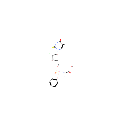 Cc1cn([C@H]2O[C@@H](COP(=O)(N[C@@H](C)C(=O)OC(C)C)Oc3ccccc3)C(O)[C@H]2Cl)c(=S)[nH]c1=O